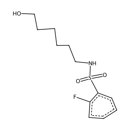 O=S(=O)(NCCCCCCO)c1ccccc1F